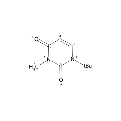 Cn1c(=O)ccn(C(C)(C)C)c1=O